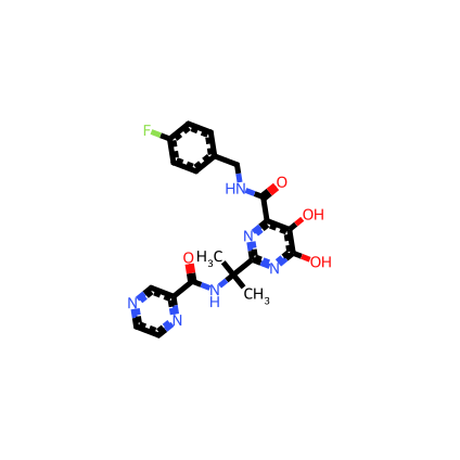 CC(C)(NC(=O)c1cnccn1)c1nc(O)c(O)c(C(=O)NCc2ccc(F)cc2)n1